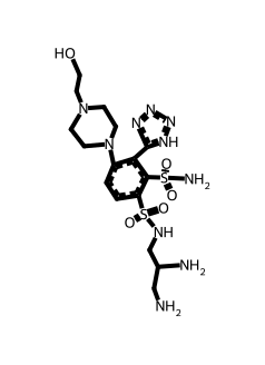 NCC(N)CNS(=O)(=O)c1ccc(N2CCN(CCO)CC2)c(-c2nnn[nH]2)c1S(N)(=O)=O